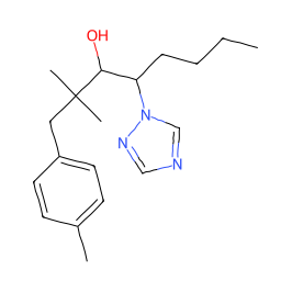 CCCCC(C(O)C(C)(C)Cc1ccc(C)cc1)n1cncn1